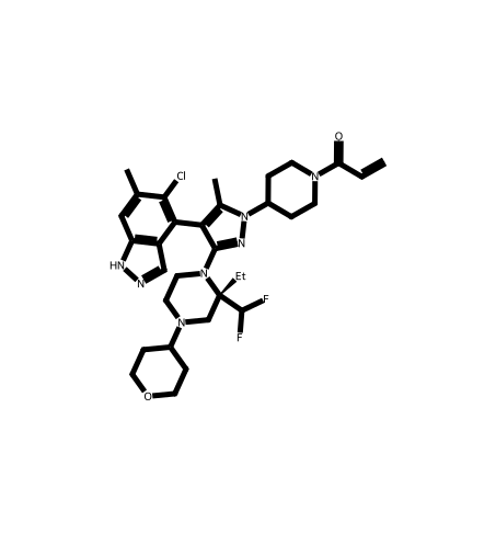 C=CC(=O)N1CCC(n2nc(N3CCN(C4CCOCC4)C[C@@]3(CC)C(F)F)c(-c3c(Cl)c(C)cc4[nH]ncc34)c2C)CC1